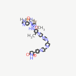 CCc1cc(Nc2ncc(Br)c(Nc3ccc4nccnc4c3P(C)(C)=O)n2)c(OC)cc1N1CCC(N2CCN(CC3CCN(CC4CCN(c5ccc(C6CCC(=O)NC6=O)cc5)CC4)CC3)CC2)CC1